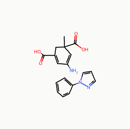 CC1(C(=O)O)C=C(N)C=C(C(=O)O)C1.c1ccc(-n2cccn2)cc1